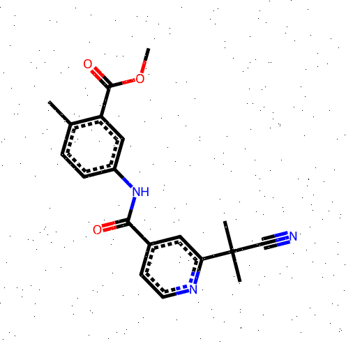 COC(=O)c1cc(NC(=O)c2ccnc(C(C)(C)C#N)c2)ccc1C